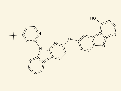 CC(C)(C)c1ccnc(-n2c3ccccc3c3ccc(Oc4ccc5oc6nccc(O)c6c5c4)nc32)c1